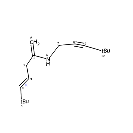 C=C(C/C=C/C(C)(C)C)NCC#CC(C)(C)C